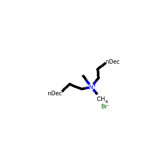 C.CCCCCCCCCCCC[N+](C)(C)CCCCCCCCCCCC.[Br-]